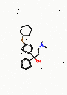 CN(C)CCC(O)(c1ccccc1)c1ccc(SC2CCCCC2)cc1